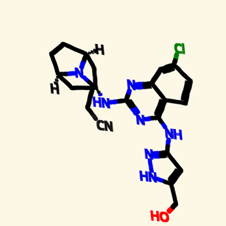 N#CCCN1[C@@H]2CC[C@H]1C[C@H](Nc1nc(Nc3cc(CO)[nH]n3)c3ccc(Cl)cc3n1)C2